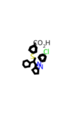 O=C(O)c1ccc(SCC(c2c3c(nn2-c2ccc(Cl)cc2)CCC3)C2CCCCC2)cc1